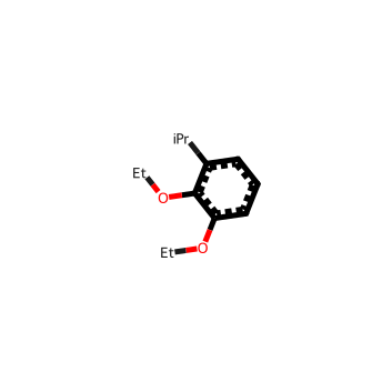 [CH2]C(C)c1cccc(OCC)c1OCC